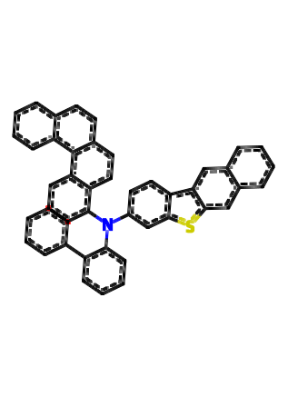 c1ccc(-c2ccccc2N(c2ccc3c(c2)sc2cc4ccccc4cc23)c2cccc3c2ccc2ccc4ccccc4c23)cc1